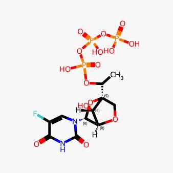 CC(OP(=O)(O)OP(=O)(O)OP(=O)(O)O)[C@@]12CO[C@@H]([C@H](n3cc(F)c(=O)[nH]c3=O)O1)[C@@H]2O